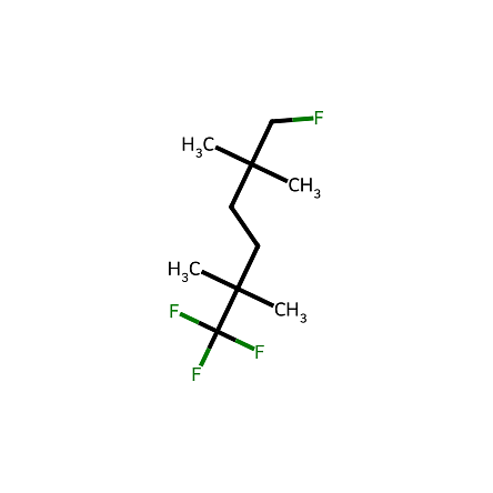 CC(C)(CF)CCC(C)(C)C(F)(F)F